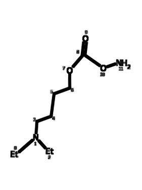 CCN(CC)CCCCOC(=O)ON